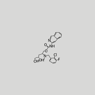 CN(Cc1cccc(F)c1Cl)C(COC(=O)Nc1cc2ccccc2cn1)CC(O)CO